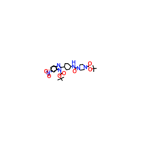 CC(C)(C)OC(=O)N1CCN(C(=O)NC2CCC(c3nc4ccc([N+](=O)[O-])cc4n3C(=O)OC(C)(C)C)CC2)CC1